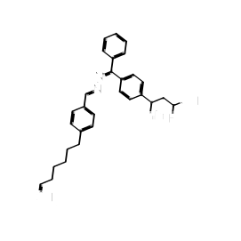 C=CCCCCCc1ccc(C=NN=C(c2ccccc2)c2ccc(C(CCC)CC(C)F)cc2)cc1